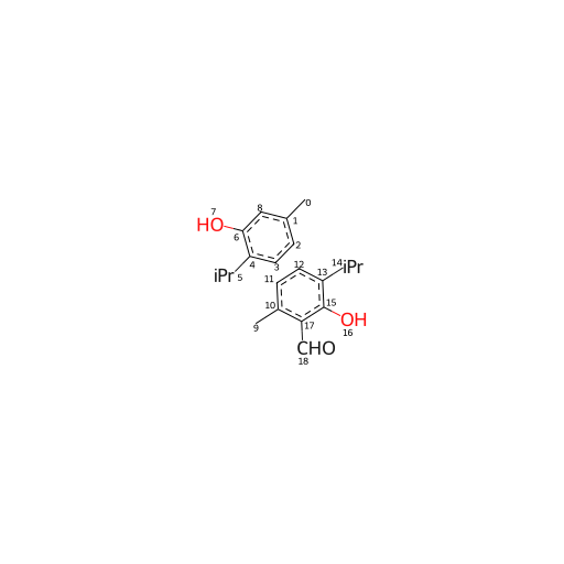 Cc1ccc(C(C)C)c(O)c1.Cc1ccc(C(C)C)c(O)c1C=O